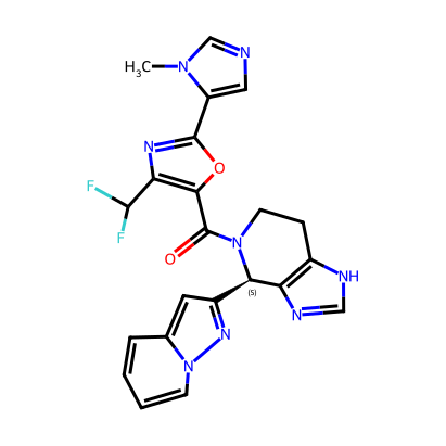 Cn1cncc1-c1nc(C(F)F)c(C(=O)N2CCc3[nH]cnc3[C@H]2c2cc3ccccn3n2)o1